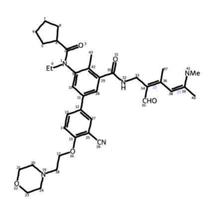 CCN(C(=O)C1CCCC1)c1cc(-c2ccc(OCCN3CCOCC3)c(C#N)c2)cc(C(=O)NC/C(C=O)=C(C)/C=C(/C)NC)c1C